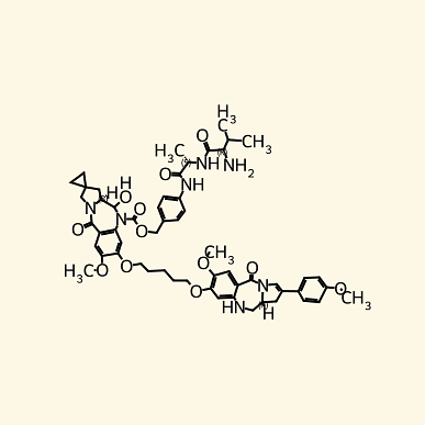 COc1ccc(C2=CN3C(=O)c4cc(OC)c(OCCCCCOc5cc6c(cc5OC)C(=O)N5CC7(CC7)C[C@H]5C(O)N6C(=O)OCc5ccc(NC(=O)[C@H](C)NC(=O)[C@H](N)C(C)C)cc5)cc4NC[C@H]3C2)cc1